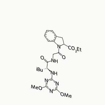 CCOC(=O)C1Cc2ccccc2N1C(=O)CNC(=O)[C@@H](Nc1nc(OC)nc(OC)n1)[C@@H](C)CC